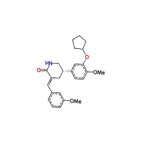 COc1cccc(C=C2C[C@@H](c3ccc(OC)c(OC4CCCC4)c3)CNC2=O)c1